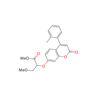 COCC(Oc1ccc2c(-c3ccccc3C)cc(=O)oc2c1)C(=O)OC